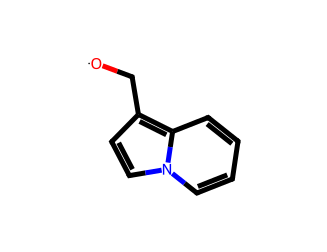 [O]Cc1ccn2ccccc12